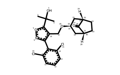 CC(C)(O)c1onc(-c2c(Cl)cccc2Cl)c1CO[C@@H]1C[C@H]2CC[C@@H](C1)C2=O